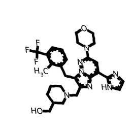 Cc1c(Cc2c(CN3CCCC(CO)C3)nc3c(-c4ncc[nH]4)cc(N4CCOCC4)nn23)cccc1C(F)(F)F